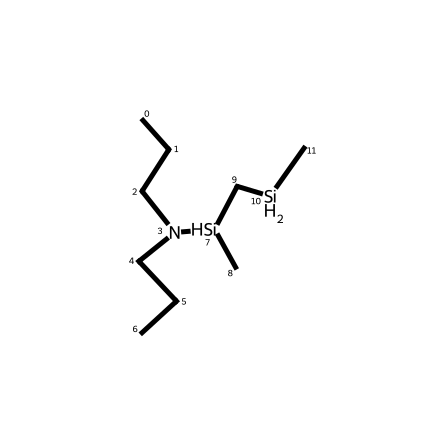 CCCN(CCC)[SiH](C)C[SiH2]C